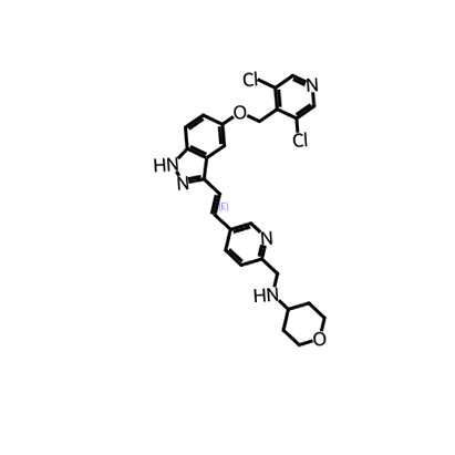 Clc1cncc(Cl)c1COc1ccc2[nH]nc(/C=C/c3ccc(CNC4CCOCC4)nc3)c2c1